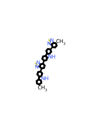 Cc1ccc2c(c1)[nH]c1cc(-c3ccc(-c4ccc5c(c4)[nH]c4cc(-c6ccc(C)c7nsnc67)ccc45)c4nsnc34)ccc12